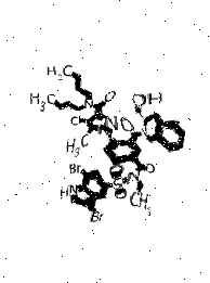 CCCCN(CCCC)C(=O)c1nn(-c2ccc(C(=O)N(CC)S(=O)(=O)c3cc(Br)c4[nH]cc(Br)c4c3)cc2C(=O)N2Cc3ccccc3C[C@H]2CO)c(C)c1Cl